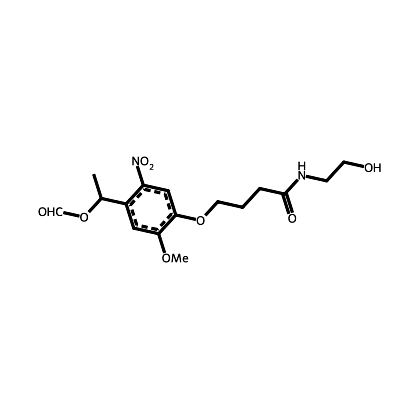 COc1cc(C(C)OC=O)c([N+](=O)[O-])cc1OCCCC(=O)NCCO